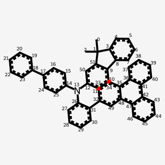 CC1(C)c2ccccc2-c2ccc(N(c3ccc(-c4ccccc4)cc3)c3ccccc3-c3ccc4c5ccccc5c5ccccc5c4c3)cc21